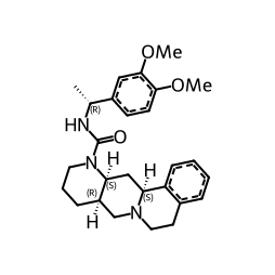 COc1ccc([C@@H](C)NC(=O)N2CCC[C@@H]3CN4CCc5ccccc5[C@@H]4C[C@@H]32)cc1OC